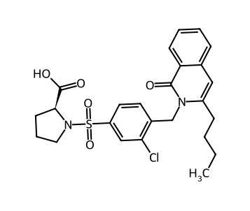 CCCCc1cc2ccccc2c(=O)n1Cc1ccc(S(=O)(=O)N2CCC[C@H]2C(=O)O)cc1Cl